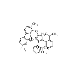 Cc1ccc2c(n1)oc1c(Oc3cn(-c4c(C(C)C)cccc4C(C)C)c(-c4ccccc4C)[n+]3C)c(C)ccc12